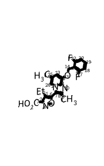 CCc1c(C(=O)O)noc1-c1c(C)nc2c(OCc3c(F)cccc3F)cc(C)cn12